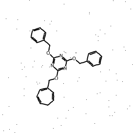 C1=CCC=CC(COc2nc(OCc3ccccc3)nc(OCc3ccccc3)n2)=C1